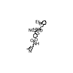 CCOc1ccccc1CCC(=O)Nc1sc2c(c1C#N)CCC(OC(=O)NCCn1cnc(C)c1)C2